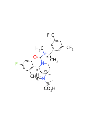 Cc1cc(F)ccc1[C@H]1C[C@]2(CC[C@H](C(=O)O)N2C)CCN1C(=O)N(C)[C@H](C)c1cc(C(F)(F)F)cc(C(F)(F)F)c1